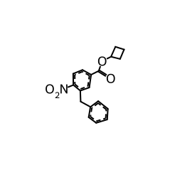 O=C(OC1CCC1)c1ccc([N+](=O)[O-])c(Cc2ccccc2)c1